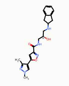 Cc1nn(C)cc1-c1cc(C(=O)NC[C@H](O)CNC2Cc3ccccc3C2)no1